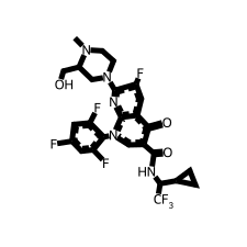 CN1CCN(c2nc3c(cc2F)c(=O)c(C(=O)NC(C2CC2)C(F)(F)F)cn3-c2c(F)cc(F)cc2F)CC1CO